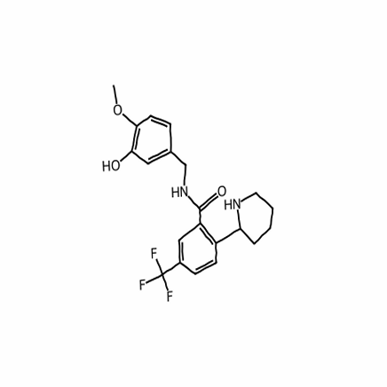 COc1ccc(CNC(=O)c2cc(C(F)(F)F)ccc2C2CCCCN2)cc1O